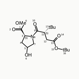 COC(=O)[C@@H]1CC(O)CN1C(=O)[C@@H](CC(=O)OC(C)(C)C)C(C)(C)C